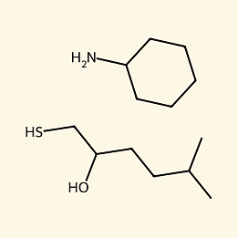 CC(C)CCC(O)CS.NC1CCCCC1